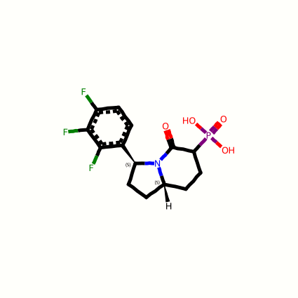 O=C1C(P(=O)(O)O)CC[C@@H]2CC[C@@H](c3ccc(F)c(F)c3F)N12